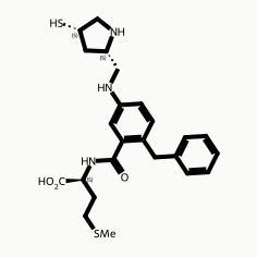 CSCC[C@H](NC(=O)c1cc(NC[C@@H]2C[C@H](S)CN2)ccc1Cc1ccccc1)C(=O)O